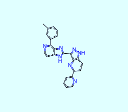 Cc1cccc(-c2nccc3[nH]c(-c4n[nH]c5ccc(-c6ccccn6)nc45)nc23)c1